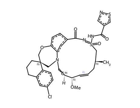 CO[C@H]1/C=C/C[C@H](C)CS(=O)(NC(=O)c2cnsc2)=NC(=O)c2ccc3c(c2)N(C[C@@]2(CCCc4cc(Cl)ccc42)CO3)C2CC[C@H]21